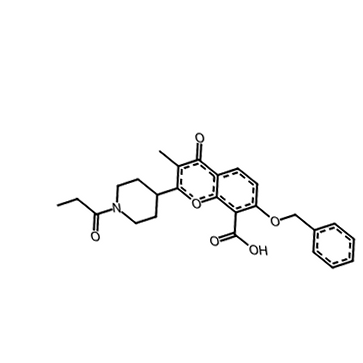 CCC(=O)N1CCC(c2oc3c(C(=O)O)c(OCc4ccccc4)ccc3c(=O)c2C)CC1